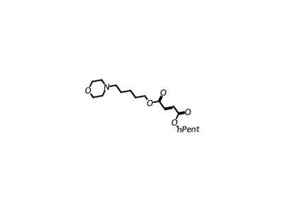 CCCCCOC(=O)C=CC(=O)OCCCCCN1CCOCC1